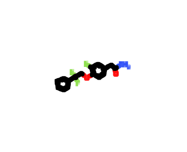 NC(=O)Cc1ccc(OCC(F)(F)c2ccccc2)c(F)c1